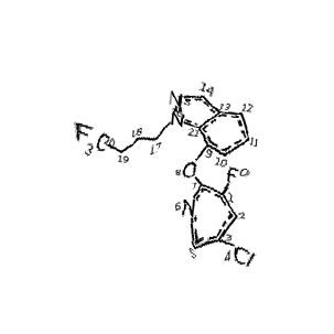 Fc1cc(Cl)cnc1Oc1cccc2cnn(CCCC(F)(F)F)c12